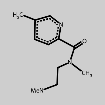 CNCCN(C)C(=O)c1ccc(C)cn1